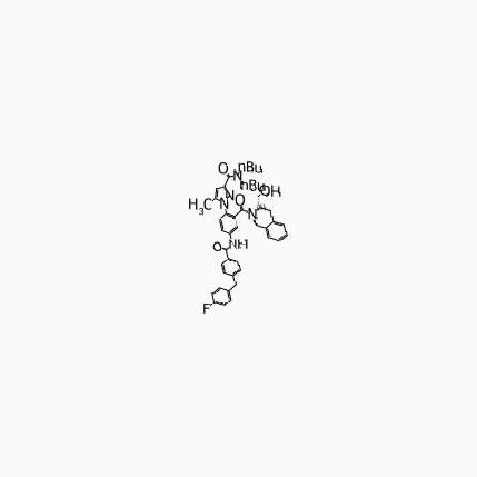 CCCCN(CCCC)C(=O)c1cc(C)n(-c2ccc(NC(=O)c3ccc(Cc4ccc(F)cc4)cc3)cc2C(=O)N2Cc3ccccc3C[C@H]2CO)n1